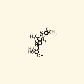 C=C1/C(=C\C=C2/CCC[C@]3(C)[C@@H]([C@H](C)CCS(=O)(=O)c4ccc(C)c(Cl)c4)CC[C@@H]23)C[C@H](O)C[C@H]1O